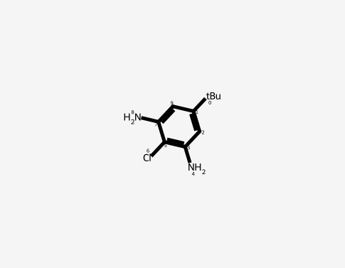 CC(C)(C)c1cc(N)c(Cl)c(N)c1